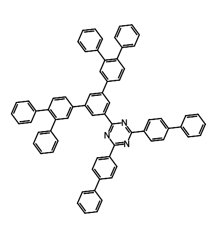 c1ccc(-c2ccc(-c3nc(-c4ccc(-c5ccccc5)cc4)nc(-c4cc(-c5ccc(-c6ccccc6)c(-c6ccccc6)c5)cc(-c5ccc(-c6ccccc6)c(-c6ccccc6)c5)c4)n3)cc2)cc1